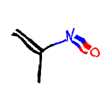 C=C(C)N=O